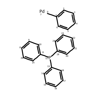 Cc1ccccc1.[Pd].c1ccc(P(c2ccccc2)c2ccccc2)cc1